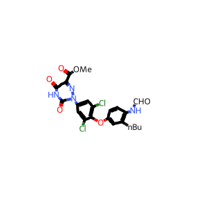 CCCCc1cc(Oc2c(Cl)cc(-n3nc(C(=O)OC)c(=O)[nH]c3=O)cc2Cl)ccc1NC=O